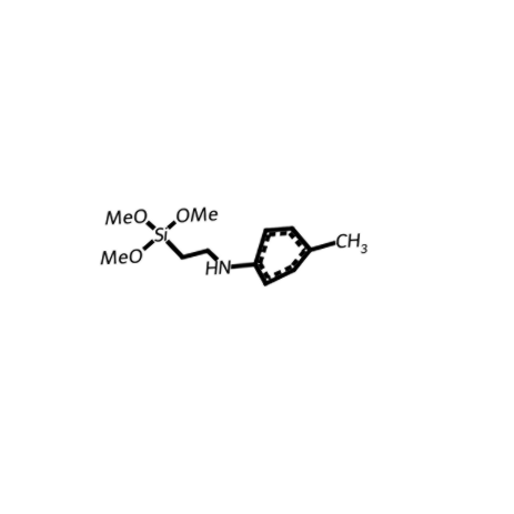 CO[Si](CCNc1ccc(C)cc1)(OC)OC